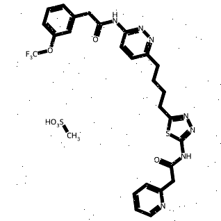 CS(=O)(=O)O.O=C(Cc1cccc(OC(F)(F)F)c1)Nc1ccc(CCCCc2nnc(NC(=O)Cc3ccccn3)s2)nn1